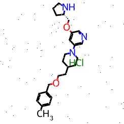 Cc1ccc(COCCC2CCN(c3cncc(OC[C@@H]4CCCN4)c3)CC2)cc1.Cl